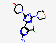 Nc1ncc(-c2nc(N3CCOCC3)nc(N3CCC(O)CC3)n2)c(C(F)F)n1